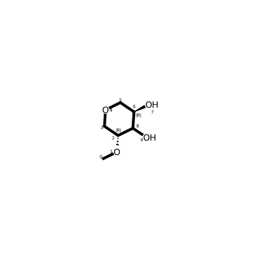 CO[C@@H]1COC[C@@H](O)C1O